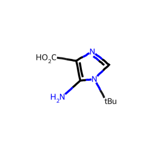 CC(C)(C)n1cnc(C(=O)O)c1N